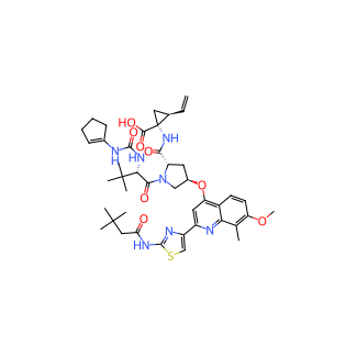 C=C[C@@H]1C[C@]1(NC(=O)[C@@H]1C[C@@H](Oc2cc(-c3csc(NC(=O)CC(C)(C)C)n3)nc3c(C)c(OC)ccc23)CN1C(=O)[C@@H](NC(=O)NC1=CCCC1)C(C)(C)C)C(=O)O